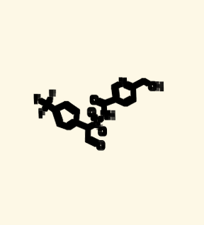 O=CC(c1ccc(C(F)(F)F)cc1)S(=O)(=O)NC(=O)c1ccc(CO)nc1